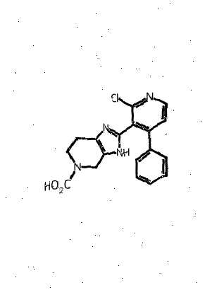 O=C(O)N1CCc2nc(-c3c(-c4ccccc4)ccnc3Cl)[nH]c2C1